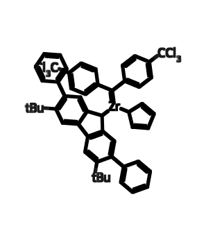 CC(C)(C)c1cc2c(cc1-c1ccccc1)[CH]([Zr](=[C](c1ccc(C(Cl)(Cl)Cl)cc1)c1ccc(C(Cl)(Cl)Cl)cc1)[CH]1C=CC=C1)c1cc(-c3ccccc3)c(C(C)(C)C)cc1-2